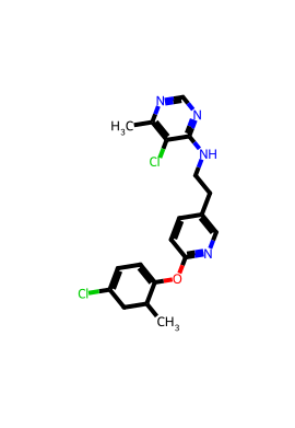 Cc1ncnc(NCCc2ccc(OC3=CC=C(Cl)CC3C)nc2)c1Cl